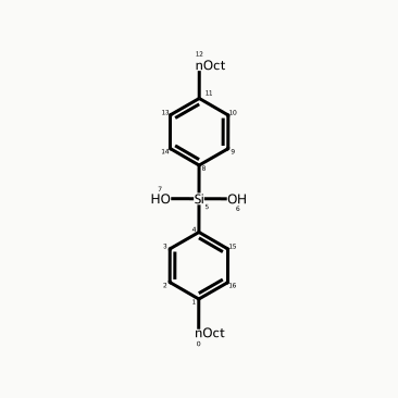 CCCCCCCCc1ccc([Si](O)(O)c2ccc(CCCCCCCC)cc2)cc1